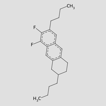 CCCCc1cc2cc3c(cc2c(F)c1F)CC(CCCC)CC3